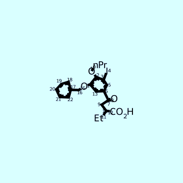 CCCOc1c(I)cc(C(=O)CC(CC)C(=O)O)cc1OCc1ccccc1